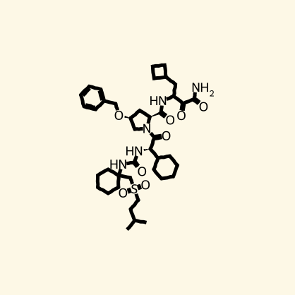 CC(C)CCS(=O)(=O)CC1(NC(=O)N[C@H](C(=O)N2C[C@H](OCc3ccccc3)C[C@H]2C(=O)NC(CC2CCC2)C(=O)C(N)=O)C2CCCCC2)CCCCC1